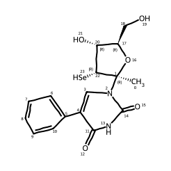 C[C@@]1(n2cc(-c3ccccc3)c(=O)[nH]c2=O)O[C@H](CO)[C@@H](O)[C@H]1[SeH]